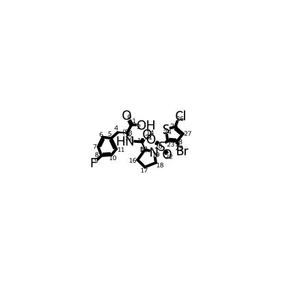 O=C(O)[C@H](Cc1ccc(F)cc1)NC(=O)[C@@H]1CCCN1S(=O)(=O)c1sc(Cl)cc1Br